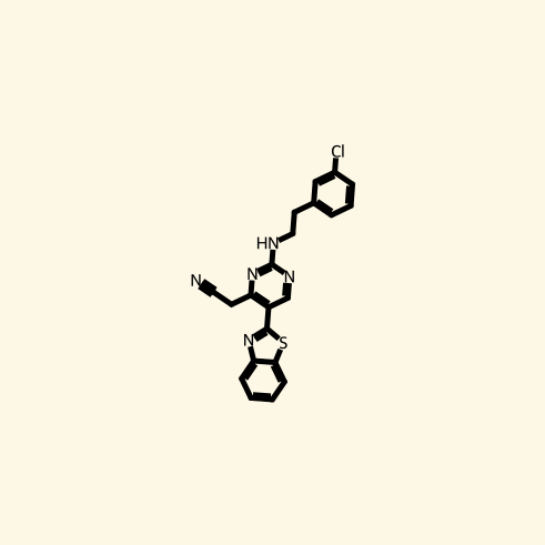 N#CCc1nc(NCCc2cccc(Cl)c2)ncc1-c1nc2ccccc2s1